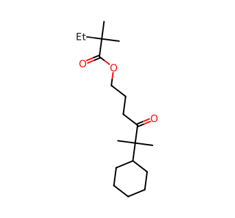 CCC(C)(C)C(=O)OCCCC(=O)C(C)(C)C1CCCCC1